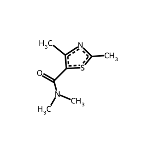 Cc1nc(C)c(C(=O)N(C)C)s1